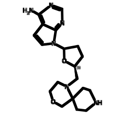 Nc1ncnc2c1ccn2C1CC[C@@H](CN2CCOCC23CCNCC3)O1